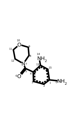 Nc1ccc(C(=O)N2CCOCC2)c(N)c1